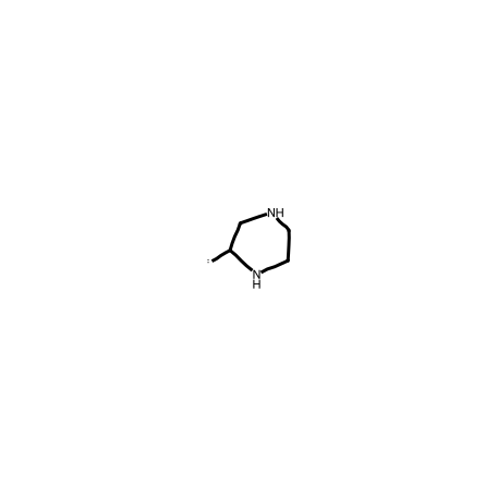 [CH]C1CNCCN1